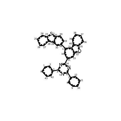 c1ccc(-c2nc(-c3ccccc3)nc(-c3cc(-c4ccc5sc6ccccc6c5c4)c4c(c3)oc3ccccc34)n2)cc1